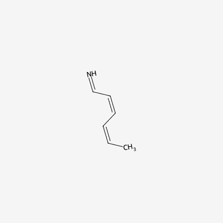 C/C=C\C=C/C=N